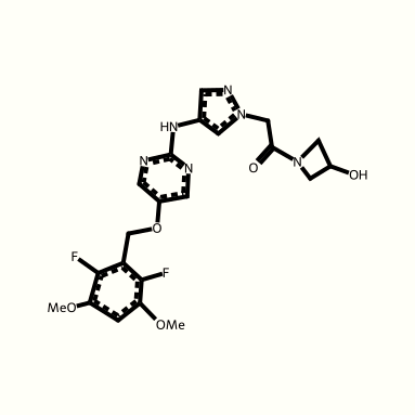 COc1cc(OC)c(F)c(COc2cnc(Nc3cnn(CC(=O)N4CC(O)C4)c3)nc2)c1F